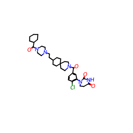 O=C1CCN(c2cc(C(=O)N3CCC4(CCC(CCN5CCN(C(=O)C6CCCCC6)CC5)CC4)CC3)ccc2Cl)C(=O)N1